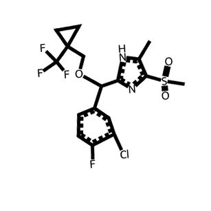 Cc1[nH]c(C(OCC2(C(F)(F)F)CC2)c2ccc(F)c(Cl)c2)nc1S(C)(=O)=O